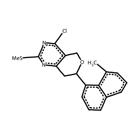 CSc1nc(Cl)c2c(n1)CC(c1cccc3cccc(C)c13)OC2